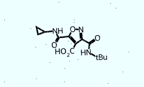 CC(C)(C)NC(=O)c1noc(C(=O)NC2CC2)c1C(=O)O